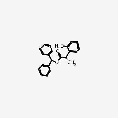 Cc1ccccc1[C@H](C)C(=O)OC(c1ccccc1)c1ccccc1